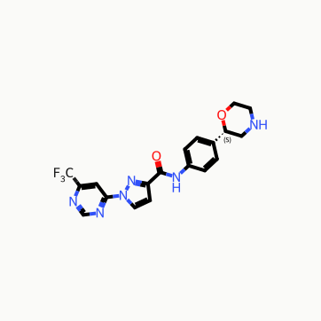 O=C(Nc1ccc([C@H]2CNCCO2)cc1)c1ccn(-c2cc(C(F)(F)F)ncn2)n1